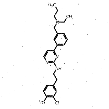 CCCN(CC)Cc1cccc(-c2ccnc(NCCc3ccc(O)c(Cl)c3)n2)c1